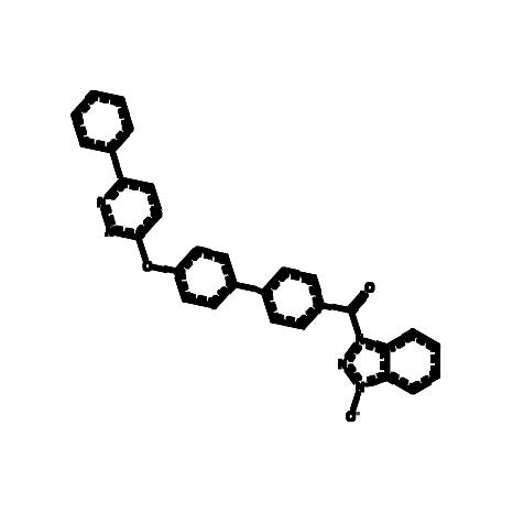 O=C(c1ccc(-c2ccc(Oc3ccc(-c4ccccc4)nn3)cc2)cc1)n1n[n+]([O-])c2ccccc21